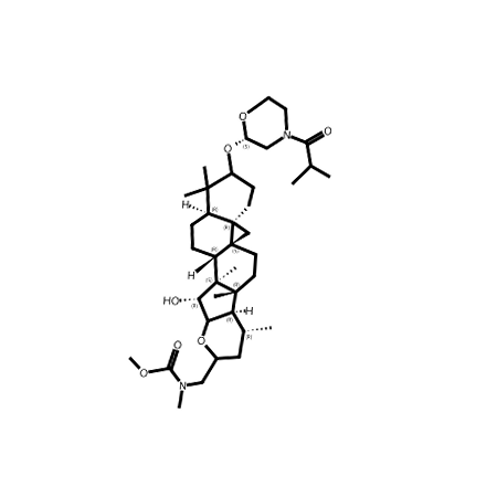 COC(=O)N(C)CC1C[C@@H](C)[C@H]2C(O1)[C@H](O)[C@@]1(C)[C@@H]3CC[C@H]4C(C)(C)C(O[C@H]5CN(C(=O)C(C)C)CCO5)CC[C@@]45C[C@@]35CC[C@]21C